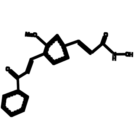 COc1cc(C=CC(=O)NO)ccc1C=CC(=O)c1ccccc1